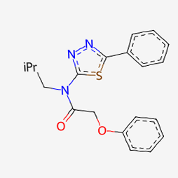 CC(C)CN(C(=O)COc1ccccc1)c1nnc(-c2ccccc2)s1